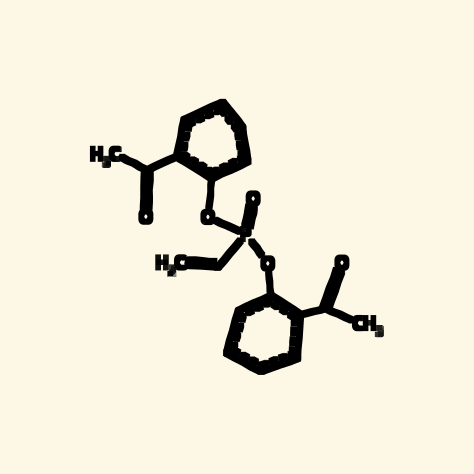 C=CP(=O)(Oc1ccccc1C(C)=O)Oc1ccccc1C(C)=O